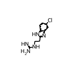 N=C(N)NCCc1nc2cc(Cl)ccc2[nH]1